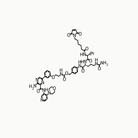 CC(C)C(NC(=O)CCCCCN1C(=O)C=CC1=O)C(=O)N[C@@H](CCCNC(N)=O)C(=O)Nc1ccc(COC(=O)NCCOc2cccc(-c3cnc(N)c(C(=O)Nc4cnccc4N4CCOCC4)n3)c2)cc1